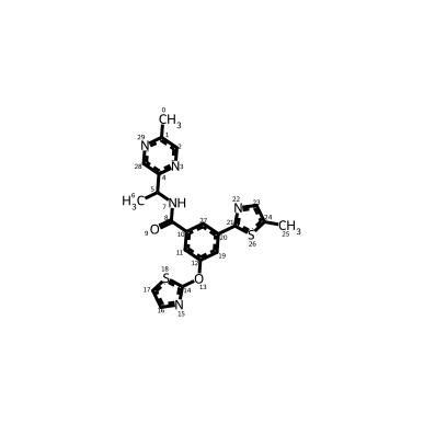 Cc1cnc(C(C)NC(=O)c2cc(Oc3nccs3)cc(-c3ncc(C)s3)c2)cn1